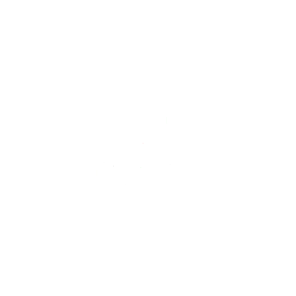 FC(F)(F)C(Cl)C(Cl)C(Cl)OC(Cl)C(Cl)C(Cl)C(F)(F)F